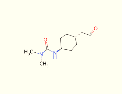 CN(C)C(=O)N[C@H]1CC[C@H](CC=O)CC1